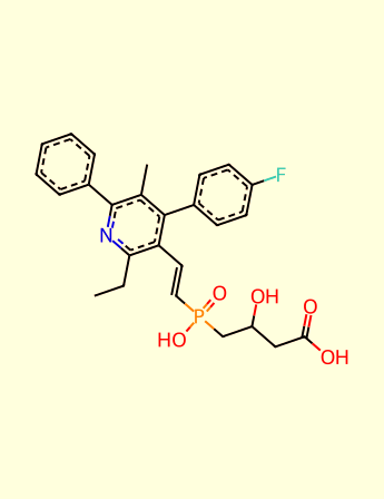 CCc1nc(-c2ccccc2)c(C)c(-c2ccc(F)cc2)c1C=CP(=O)(O)CC(O)CC(=O)O